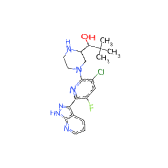 CC(C)(C)C(O)C1CN(c2nc(-c3n[nH]c4ncccc34)c(F)cc2Cl)CCN1